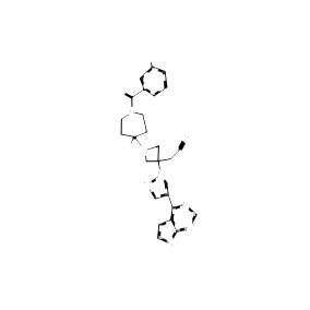 CC1(N2CC(CC#N)(n3cc(-c4ncnc5[nH]ccc45)cn3)C2)CCN(C(=O)c2cccc(F)c2)CC1